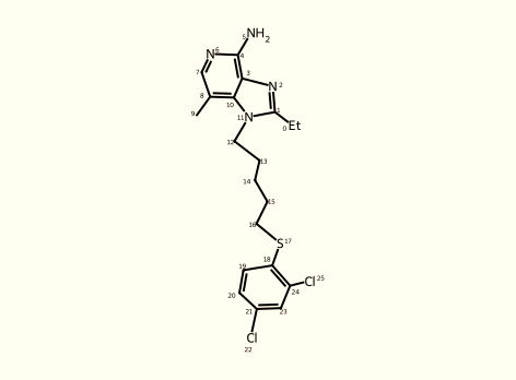 CCc1nc2c(N)ncc(C)c2n1CCCCCSc1ccc(Cl)cc1Cl